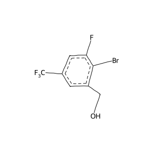 OCc1cc(C(F)(F)F)cc(F)c1Br